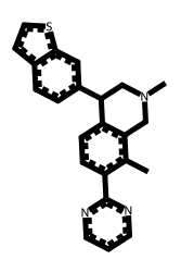 Cc1c(-c2ncccn2)ccc2c1CN(C)CC2c1ccc2ccsc2c1